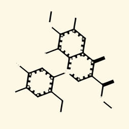 COC(=O)c1cn(-c2cc(N)c(F)cc2CO)c2c(Cl)c(OC)c(F)cc2c1=O